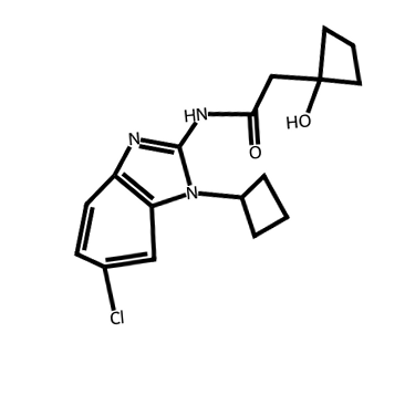 O=C(CC1(O)CCC1)Nc1nc2ccc(Cl)cc2n1C1CCC1